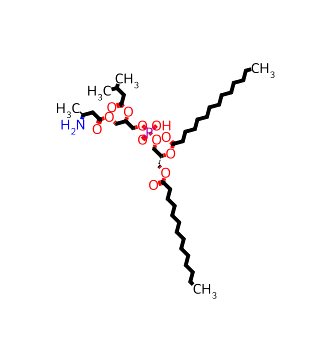 CCCCCCCCCCCCCC(=O)OC[C@H](COP(=O)(O)OCC(COC(=O)C[C@@H](C)N)OC(=O)CC(C)C)OC(=O)CCCCCCCCCCCCC